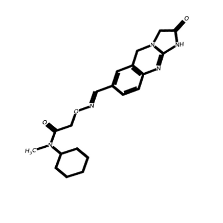 CN(C(=O)CO/N=C/c1ccc2c(c1)CN1CC(=O)NC1=N2)C1CCCCC1